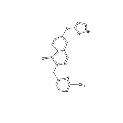 Cc1cccc(Cn2ncc3cc(Sc4cc[nH]n4)ccc3c2=O)n1